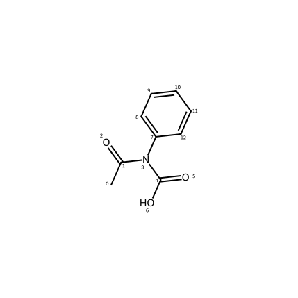 CC(=O)N(C(=O)O)c1ccccc1